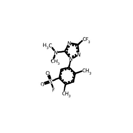 Cc1cc(C)c(S(=O)(=O)F)cc1-n1nc(C(F)(F)F)nc1N(C)C